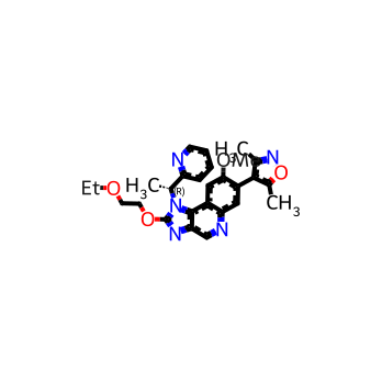 CCOCCOc1nc2cnc3cc(-c4c(C)noc4C)c(OC)cc3c2n1[C@H](C)c1ccccn1